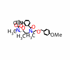 COc1ccc(COC[C@H](C)N2C[C@@H](C)[C@H](CN(C)C(=O)OC(C)(C)C)Oc3c(cccc3[N+](=O)[O-])C2=O)cc1